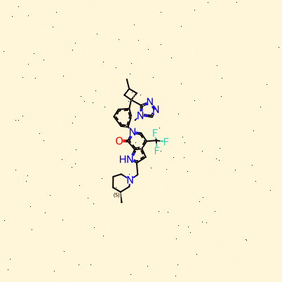 CC1CC(c2cccc(-n3cc(C(F)(F)F)c4cc(CN5CCC[C@H](C)C5)[nH]c4c3=O)c2)(c2nncn2C)C1